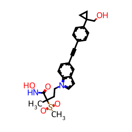 CC(CCn1ccc2cc(C#Cc3ccc(C4(CO)CC4)cc3)ccc21)(C(=O)NO)S(C)(=O)=O